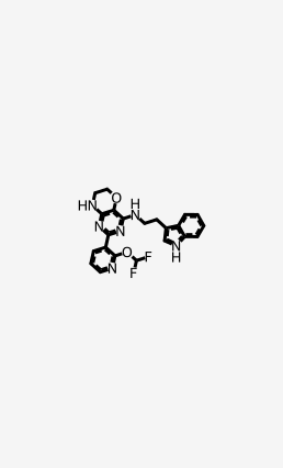 FC(F)Oc1ncccc1-c1nc2c(c(NCCc3c[nH]c4ccccc34)n1)OCCN2